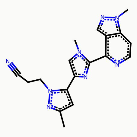 Cc1cc(-c2cn(C)c(-c3nccc4c3cnn4C)n2)n(CCC#N)n1